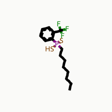 CCCCCCCCP(=S)(S)c1ccccc1C(F)(F)F